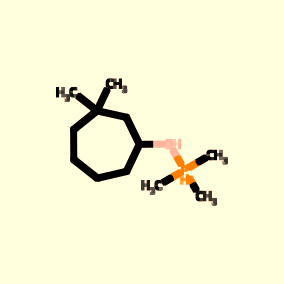 CC1(C)CCCCC(B[PH](C)(C)C)C1